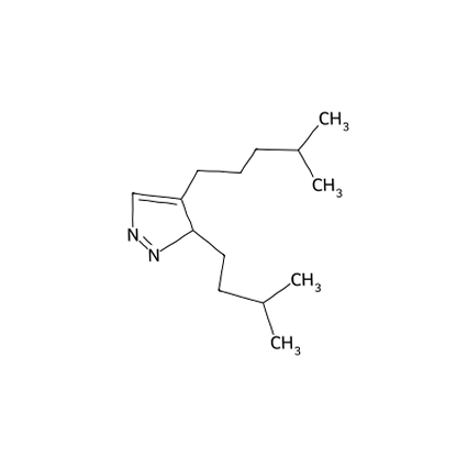 CC(C)CCCC1=CN=NC1CCC(C)C